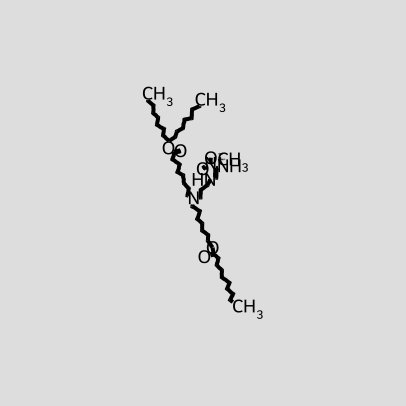 CCCCCCCCCC(=O)OCCCCCCCN(CCCCCCCC(=O)OC(CCCCCCCC)CCCCCCCC)CCCNC=C(NC)[N+](=O)[O-]